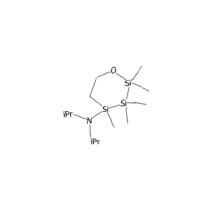 CC(C)N(C(C)C)[Si]1(C)CCO[Si](C)(C)[Si]1(C)C